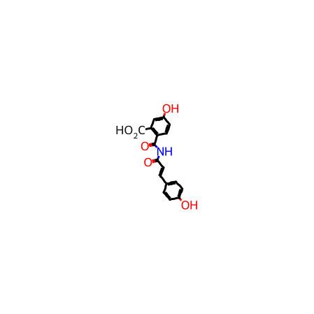 O=C(/C=C/c1ccc(O)cc1)NC(=O)c1ccc(O)cc1C(=O)O